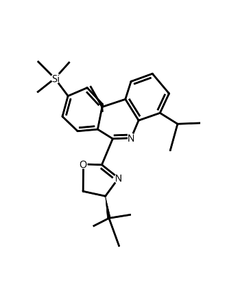 CC(C)c1cccc(C(C)C)c1/N=C(/C1=N[C@@H](C(C)(C)C)CO1)c1ccc([Si](C)(C)C)cc1